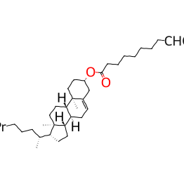 CC(C)CCC[C@@H](C)[C@H]1CC[C@H]2[C@@H]3CC=C4C[C@@H](OC(=O)CCCCCCCC=O)CC[C@]4(C)[C@H]3CC[C@]12C